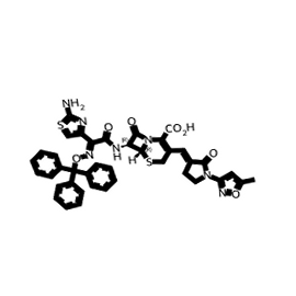 Cc1cc(N2CCC(=CC3=C(C(=O)O)N4C(=O)[C@@H](NC(=O)C(=NOC(c5ccccc5)(c5ccccc5)c5ccccc5)c5csc(N)n5)[C@H]4SC3)C2=O)no1